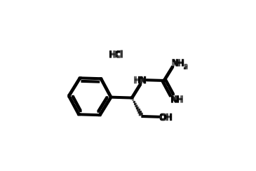 Cl.N=C(N)N[C@H](CO)c1ccccc1